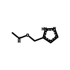 CNOCc1ccn[nH]1